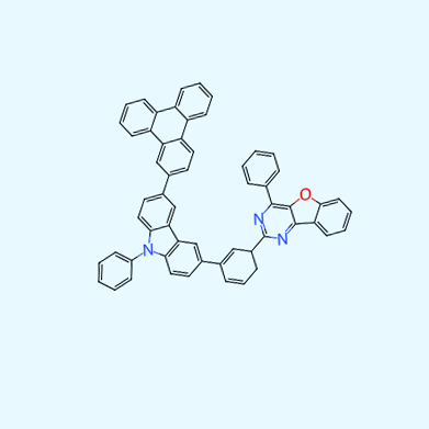 C1=CC(c2ccc3c(c2)c2cc(-c4ccc5c6ccccc6c6ccccc6c5c4)ccc2n3-c2ccccc2)=CC(c2nc(-c3ccccc3)c3oc4ccccc4c3n2)C1